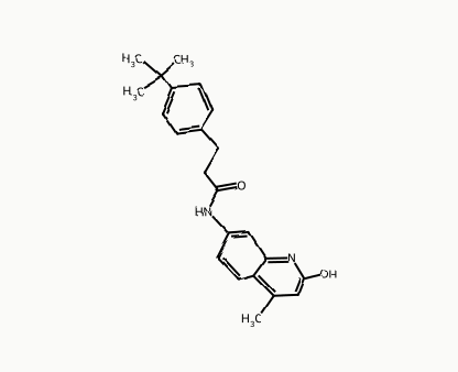 Cc1cc(O)nc2cc(NC(=O)CCc3ccc(C(C)(C)C)cc3)ccc12